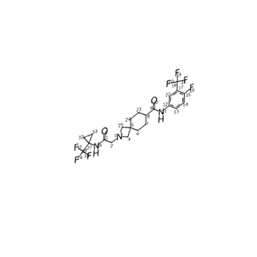 O=C(CN1CC2(CCC(C(=O)Nc3ccc(F)c(C(F)(F)F)c3)CC2)C1)NC1(C(F)(F)F)CC1